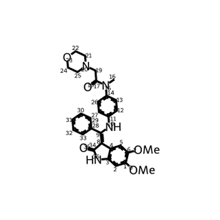 COc1cc2c(cc1OC)C(=C(Nc1ccc(N(C)C(=O)CN3CCOCC3)cc1)c1ccccc1)C(=O)N2